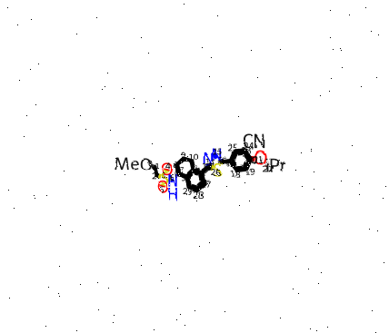 COCCS(=O)(=O)N[C@H]1CCCc2c(-c3nnc(-c4ccc(OC(C)C)c(C#N)c4)s3)cccc21